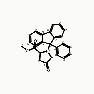 COC(=O)C1CC(=O)CN1C1(c2ccccc2)c2ccccc2-c2ccccc21